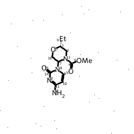 CC[C@@H]1CN(C(=O)OC)C(n2ccc(N)nc2=O)CO1